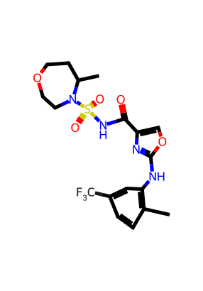 Cc1ccc(C(F)(F)F)cc1Nc1nc(C(=O)NS(=O)(=O)N2CCOCCC2C)co1